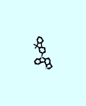 CC1(C)c2ccccc2-c2ccc(-n3c4ccccc4c4c5occc5ccc43)cc21